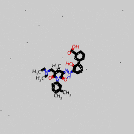 CCN(CC)CC1=C(C)C(=NNc2cccc(C3CCCC(C(=O)O)C3)c2O)C(=O)N(c2ccc(C)c(C)c2)C1=O